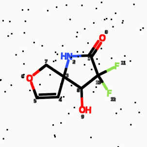 O=C1NC2(C=COC2)C(O)C1(F)F